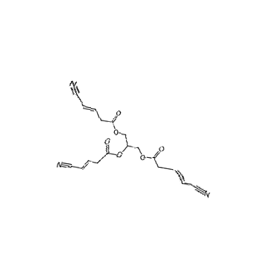 N#CC=CCC(=O)OCC(COC(=O)CC=CC#N)OC(=O)CC=CC#N